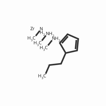 CN.CN.CN.C[CH]CC1C=CC=C1.[Zr]